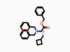 O=C(OCc1ccccc1)[C@H](CC1CCC1)N(Cc1ccccc1)Cc1ccccc1